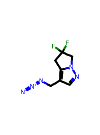 [N-]=[N+]=NCc1cnn2c1CC(F)(F)C2